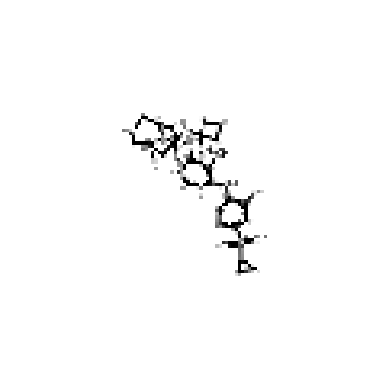 Cc1c(Nc2ccc(S(=O)(=O)C3CC3)cc2F)ncnc1O[C@@H]1CC2COC[C@@H](C1)N2C(=O)OC1(C)CCC1